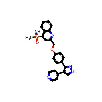 CS(=N)(=O)c1cc(COc2ccc(-c3n[nH]cc3-c3ccncc3)cc2)nc2ccccc12